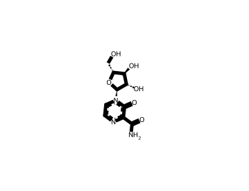 NC(=O)c1nccn([C@@H]2O[C@H](CO)[C@@H](O)[C@@H]2O)c1=O